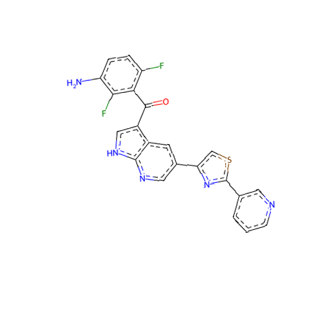 Nc1ccc(F)c(C(=O)c2c[nH]c3ncc(-c4csc(-c5cccnc5)n4)cc23)c1F